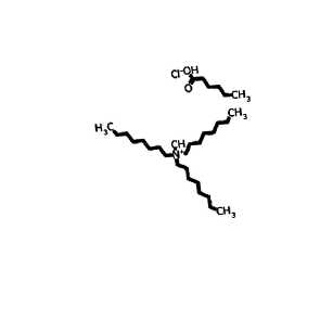 CCCCCC(=O)O.CCCCCCCC[N+](C)(CCCCCCCC)CCCCCCCC.[Cl-]